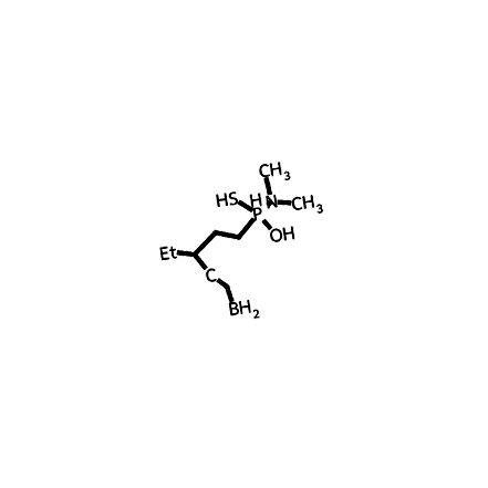 BCCC(CC)CC[PH](O)(S)N(C)C